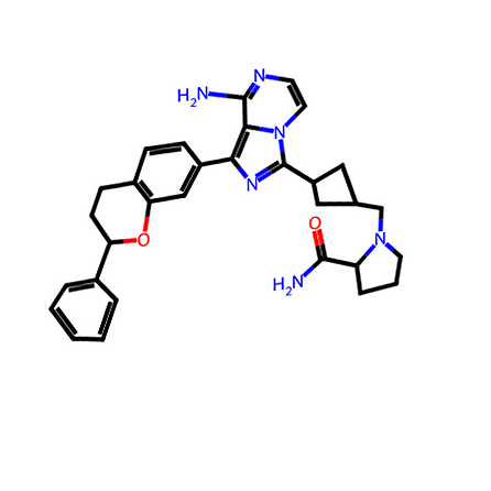 NC(=O)C1CCCN1CC1CC(c2nc(-c3ccc4c(c3)OC(c3ccccc3)CC4)c3c(N)nccn23)C1